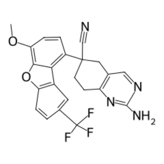 COc1ccc(C2(C#N)CCc3nc(N)ncc3C2)c2c1oc1ccc(C(F)(F)F)cc12